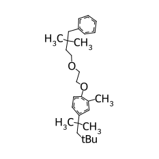 Cc1cc(C(C)(C)CC(C)(C)C)ccc1OCCOCCC(C)(C)Cc1ccccc1